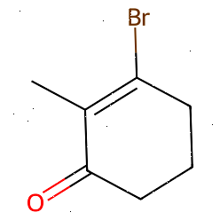 CC1=C(Br)CCCC1=O